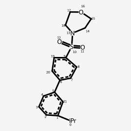 CC(C)c1cccc(-c2ccc(S(=O)(=O)N3CCOCC3)cc2)c1